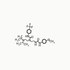 COc1ccc(NC(=O)NCCN(CCN(C(C)C)C(C)C)C(=O)Nc2ccc(C(F)(F)F)cc2)cc1